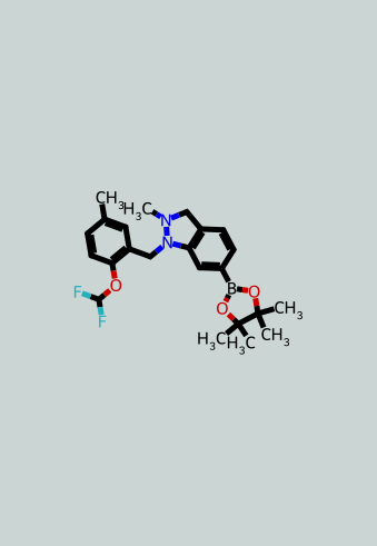 Cc1ccc(OC(F)F)c(CN2c3cc(B4OC(C)(C)C(C)(C)O4)ccc3CN2C)c1